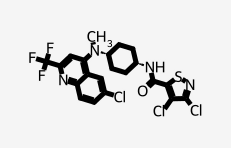 CN(c1cc(C(F)(F)F)nc2ccc(Cl)cc12)[C@H]1CC[C@@H](NC(=O)c2snc(Cl)c2Cl)CC1